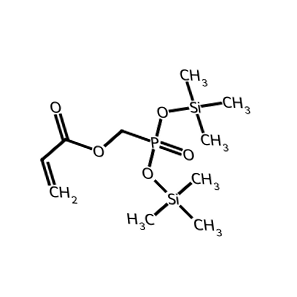 C=CC(=O)OCP(=O)(O[Si](C)(C)C)O[Si](C)(C)C